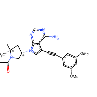 C=CC(=O)N1C[C@@H](n2cc(C#Cc3cc(OC)cc(OC)c3)c3c(N)ncnc32)C[C@@]1(C)C(=O)O